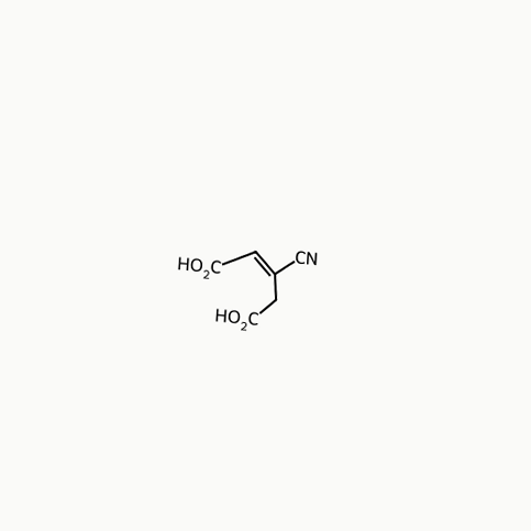 N#CC(=CC(=O)O)CC(=O)O